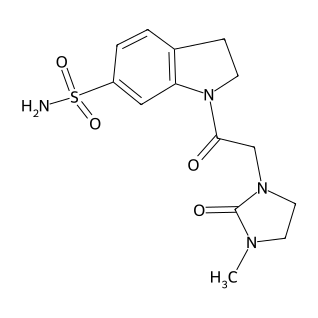 CN1CCN(CC(=O)N2CCc3ccc(S(N)(=O)=O)cc32)C1=O